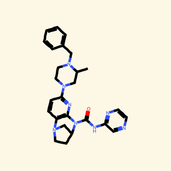 CC1CN(c2ccc3c(n2)N(C(=O)Nc2cnccn2)C2CCN3C2)CCN1Cc1ccccc1